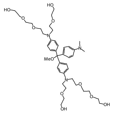 COC(c1ccc(N(C)C)cc1)(c1ccc(N(CCOCCO)CCOCCOCCO)cc1)c1ccc(N(CCOCCO)CCOCCOCCO)cc1